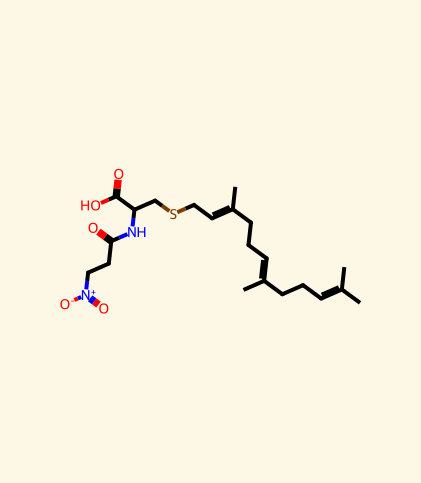 CC(C)=CCCC(C)=CCCC(C)=CCSCC(NC(=O)CC[N+](=O)[O-])C(=O)O